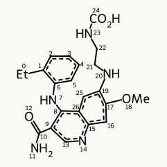 CCc1ccccc1Nc1c(C(N)=O)cnc2cc(OC)c(NCCNC(=O)O)cc12